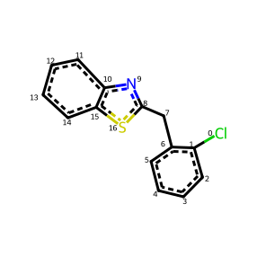 Clc1ccccc1Cc1nc2ccccc2s1